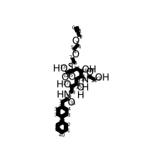 C#CCOCCOCCS[C@@]1(C(=O)O)C[C@H](O)[C@@H](NC(=O)CO)[C@H]([C@H](O)[C@H](O)CNC(=O)Cc2ccc(-c3ccccc3)cc2)O1